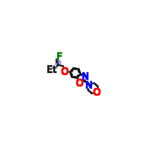 CC/C(=C/F)COc1ccc2nc(N3CCOCC3)oc2c1